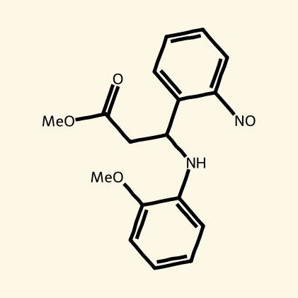 COC(=O)CC(Nc1ccccc1OC)c1ccccc1N=O